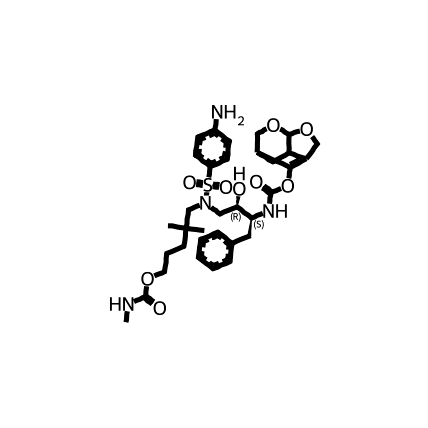 CNC(=O)OCCCC(C)(C)CN(C[C@@H](O)[C@H](Cc1ccccc1)NC(=O)OC1=C2COC3OCC1CC23)S(=O)(=O)c1ccc(N)cc1